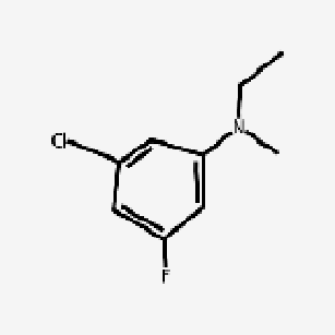 CCN(C)c1cc(F)cc(Cl)c1